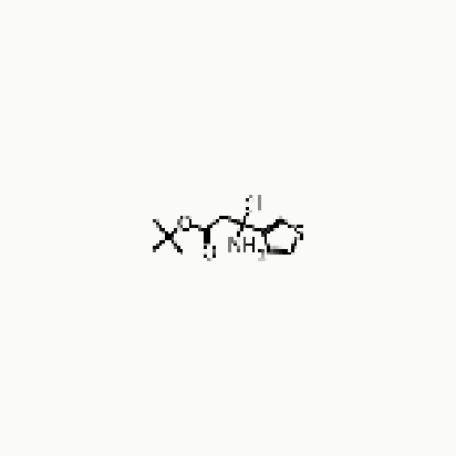 CC(C)(C)OC(=O)CC(N)(Cl)c1ccsc1